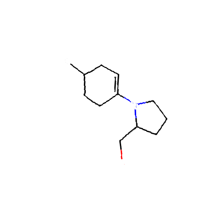 CC1CC=C(N2CCCC2CO)CC1